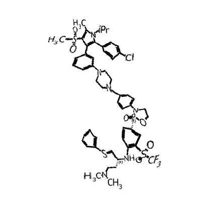 Cc1c(S(C)(=O)=O)c(-c2cccc(N3CCN(c4ccc(N5CCO[P@]5(=O)c5ccc(N[C@H](CCN(C)C)CSc6ccccc6)c(S(=O)(=O)C(F)(F)F)c5)cc4)CC3)c2)c(-c2ccc(Cl)cc2)n1C(C)C